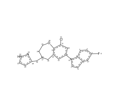 Fc1ccc2c(ccn2-c2cc(Cl)c3c(c2)CN(Cc2cc[nH]n2)CCO3)c1